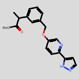 COC(=O)C(C)c1cccc(COc2ccc(-c3ccn[nH]3)nc2)c1